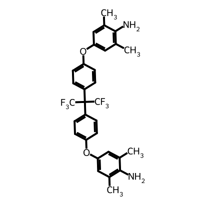 Cc1cc(Oc2ccc(C(c3ccc(Oc4cc(C)c(N)c(C)c4)cc3)(C(F)(F)F)C(F)(F)F)cc2)cc(C)c1N